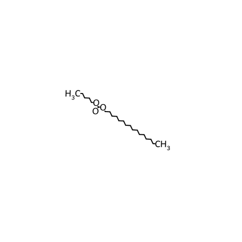 CCCCCCCCCCCCCCCCOC(=O)OCCCCC